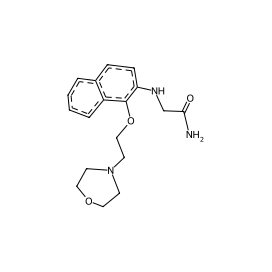 NC(=O)CNc1ccc2ccccc2c1OCCN1CCOCC1